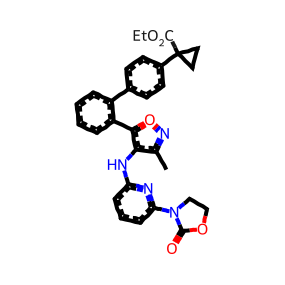 CCOC(=O)C1(c2ccc(-c3ccccc3-c3onc(C)c3Nc3cccc(N4CCOC4=O)n3)cc2)CC1